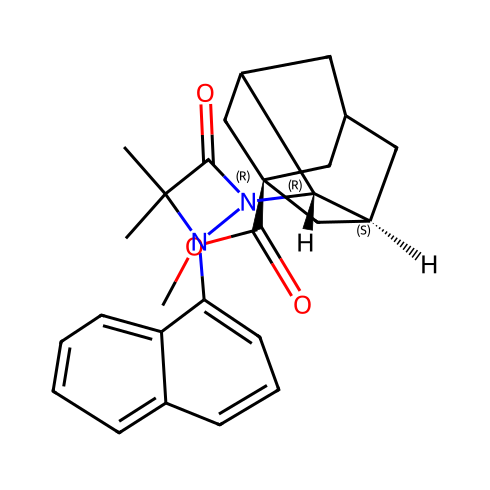 COC(=O)[C@]12CC3CC(C1)[C@@H](N1C(=O)C(C)(C)N1c1cccc4ccccc14)[C@@H](C3)C2